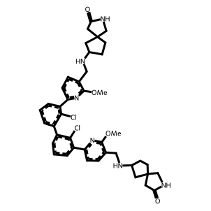 COc1nc(-c2cccc(-c3cccc(-c4ccc(CNC5CCC6(CNC(=O)C6)C5)c(OC)n4)c3Cl)c2Cl)ccc1CNC1CCC2(CNC(=O)C2)C1